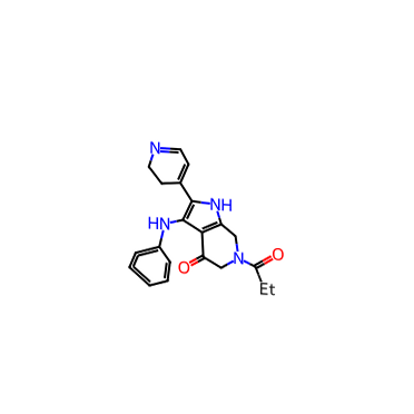 CCC(=O)N1CC(=O)c2c([nH]c(C3=CC=NCC3)c2NC2=C=C=CC=C2)C1